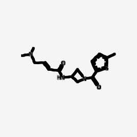 Cc1ccc(C(=O)N2CC(NC(=O)/C=C/CN(C)C)C2)s1